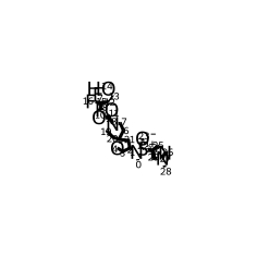 CN([C@H]1COC2(CCN(C(=O)O[C@H](CO)C(F)(F)F)CC2)C1)[S+]([O-])c1cnn(C)c1